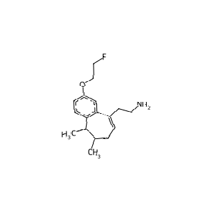 CC1CC=C(CCN)c2cc(OCCF)ccc2C1C